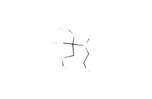 CCCN(C)C([SiH3])(CNC)NC